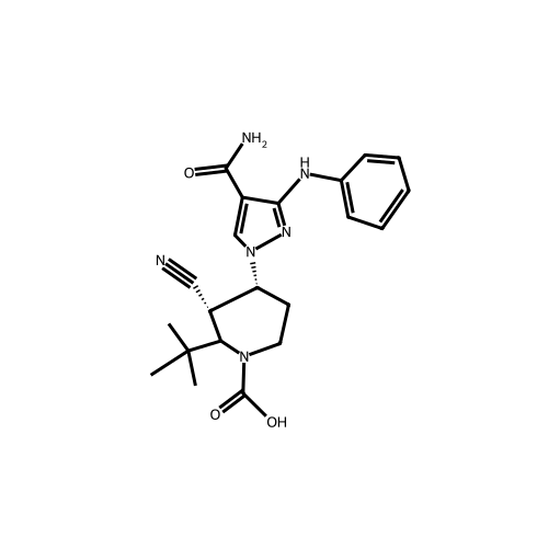 CC(C)(C)C1[C@H](C#N)[C@H](n2cc(C(N)=O)c(Nc3ccccc3)n2)CCN1C(=O)O